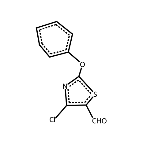 O=Cc1sc(Oc2ccccc2)nc1Cl